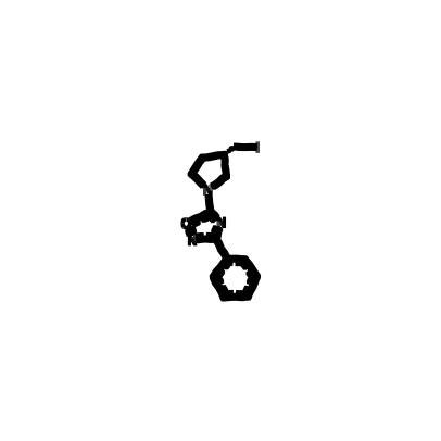 IC[C@H]1CCN(c2nc(-c3ccccc3)no2)C1